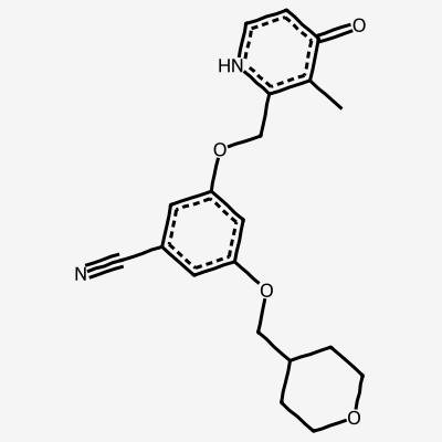 Cc1c(COc2cc(C#N)cc(OCC3CCOCC3)c2)[nH]ccc1=O